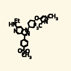 CCNc1cc2c(cn1)c(-c1ccc(S(C)(=O)=O)cc1)nn2[C@H]1CC[C@@H](Oc2cn(C)nc2C(F)(F)F)CC1